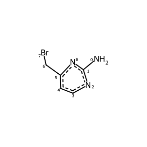 Nc1nccc(CBr)n1